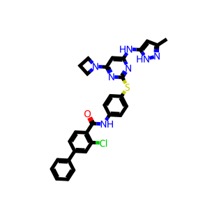 Cc1cc(Nc2cc(N3CCC3)nc(Sc3ccc(NC(=O)c4ccc(-c5ccccc5)cc4Cl)cc3)n2)[nH]n1